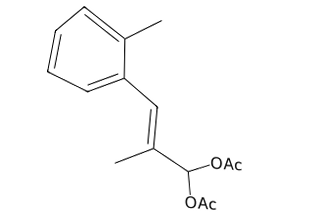 CC(=O)OC(OC(C)=O)/C(C)=C/c1ccccc1C